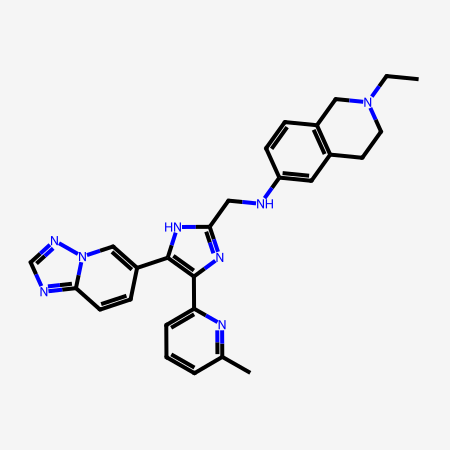 CCN1CCc2cc(NCc3nc(-c4cccc(C)n4)c(-c4ccc5ncnn5c4)[nH]3)ccc2C1